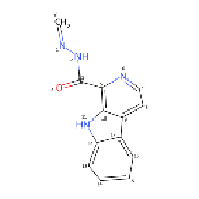 C=NNC(=O)c1nccc2c1[nH]c1ccccc12